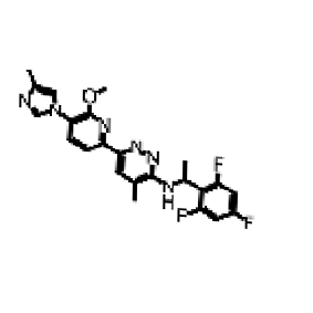 COc1nc(-c2cc(C)c(NC(C)c3c(F)cc(F)cc3F)nn2)ccc1-n1cnc(C)c1